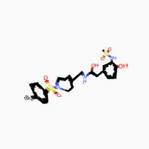 CC(C)(C)c1ccc(S(=O)(=O)N2CCC(CNC(O)Cc3ccc(O)c(NS(C)(=O)=O)c3)CC2)cc1